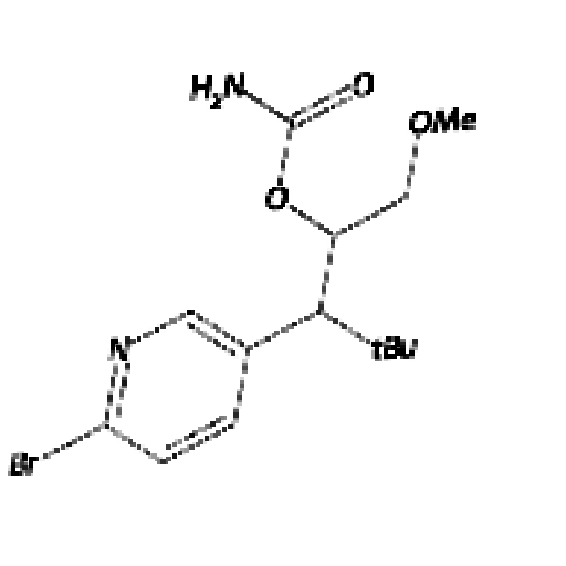 COCC(OC(N)=O)C(c1ccc(Br)nc1)C(C)(C)C